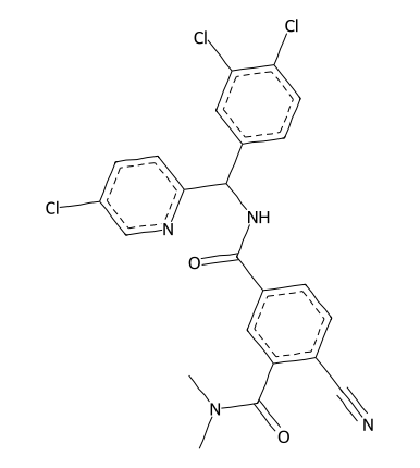 CN(C)C(=O)c1cc(C(=O)NC(c2ccc(Cl)c(Cl)c2)c2ccc(Cl)cn2)ccc1C#N